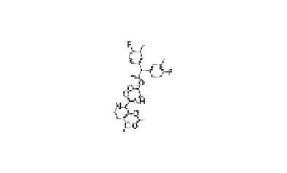 COc1ccnc(C(=O)N[C@@H](C)C(=O)O[C@@H](C)C(c2ccc(F)c(C)c2)c2ccc(F)c(C)c2)c1OC(C)=O